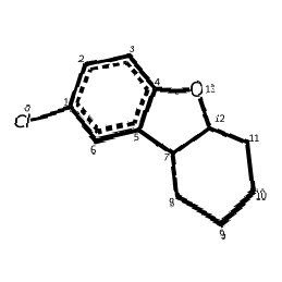 Clc1ccc2c(c1)C1CCCCC1O2